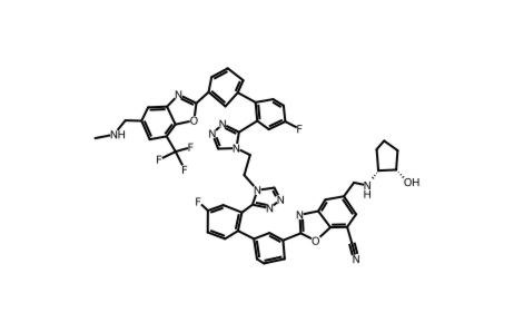 CNCc1cc(C(F)(F)F)c2oc(-c3cccc(-c4ccc(F)cc4-c4nncn4CCn4cnnc4-c4cc(F)ccc4-c4cccc(-c5nc6cc(CN[C@@H]7CCC[C@@H]7O)cc(C#N)c6o5)c4)c3)nc2c1